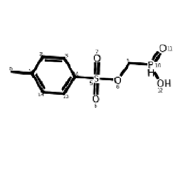 Cc1ccc(S(=O)(=O)OC[PH](=O)O)cc1